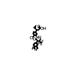 CC(C(C(=O)Nc1cc(C(CC(=O)O)C2CC2)ccc1Cl)c1ccc2c(cnn2C)c1)C(F)(F)F